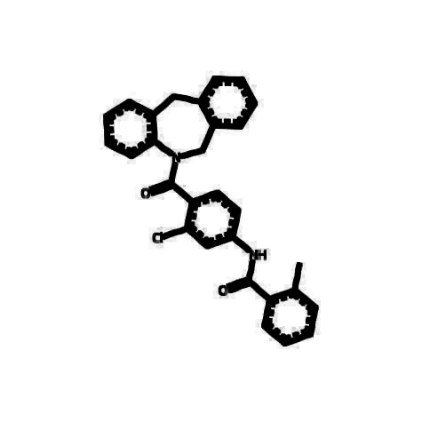 Cc1ccccc1C(=O)Nc1ccc(C(=O)N2Cc3ccccc3Cc3ccccc32)c(Cl)c1